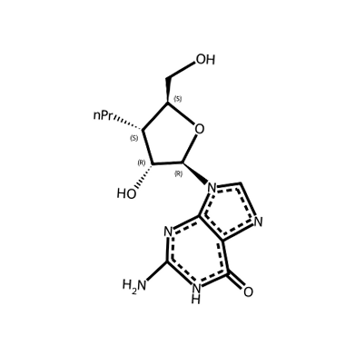 CCC[C@H]1[C@@H](O)[C@H](n2cnc3c(=O)[nH]c(N)nc32)O[C@@H]1CO